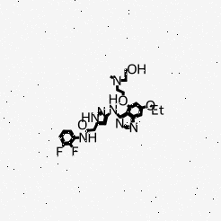 CCOc1cc(OCCN(C)CCO)c2c(Nc3cc(CC(=O)Nc4cccc(F)c4F)[nH]n3)ncnc2c1